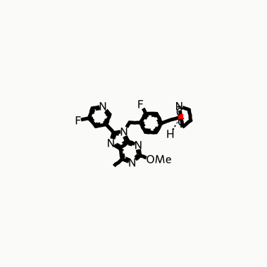 COc1nc(C)c2nc(-c3cncc(F)c3)n(Cc3ccc([C@@H]4CN5CCC4CC5)cc3F)c2n1